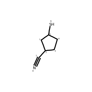 N#CC1CCC(S)C1